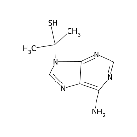 CC(C)(S)n1cnc2c(N)ncnc21